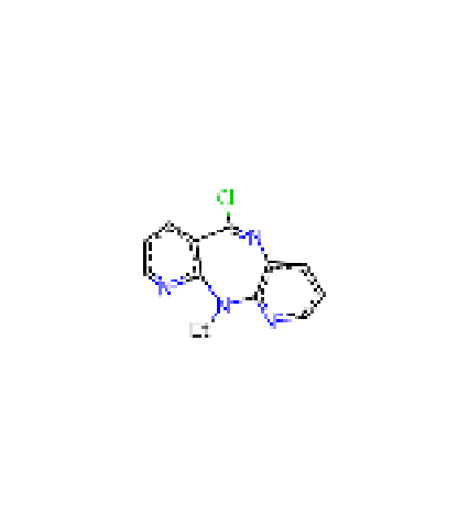 CCN1c2ncccc2N=C(Cl)c2cccnc21